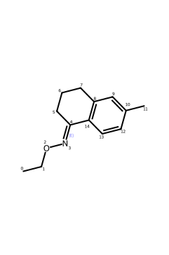 CCO/N=C1\CCCc2cc(C)ccc21